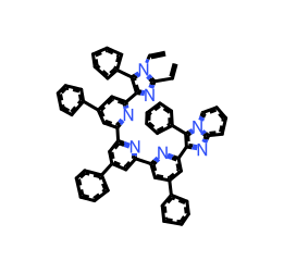 C=Cc1nc(-c2cc(-c3ccccc3)cc(-c3cc(-c4ccccc4)cc(-c4cc(-c5ccccc5)cc(-c5nc6ccccn6c5-c5ccccc5)n4)n3)n2)c(-c2ccccc2)n1C=C